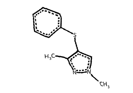 Cc1nn(C)cc1Sc1ccccc1